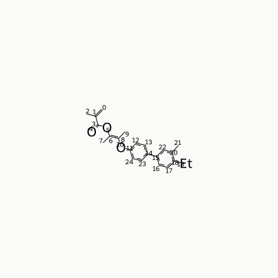 C=C(C)C(=O)O/C(C)=C(\C)Oc1ccc(-c2ccc(CC)c(C)c2)cc1